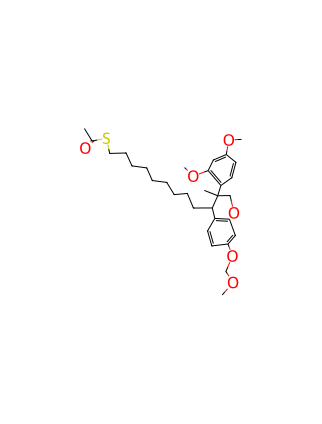 COCOc1ccc2c(c1)OCC(C)(c1ccc(OC)cc1OC)C2CCCCCCCCCSC(C)=O